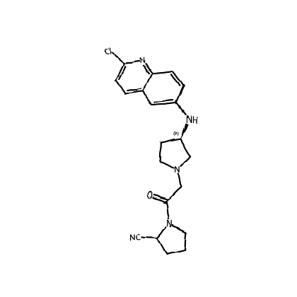 N#CC1CCCN1C(=O)CN1CC[C@@H](Nc2ccc3nc(Cl)ccc3c2)C1